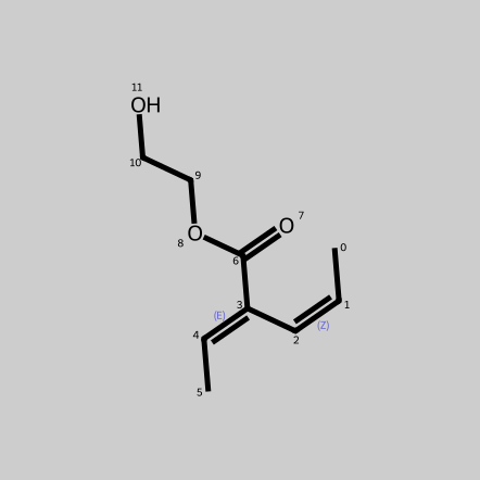 C/C=C\C(=C/C)C(=O)OCCO